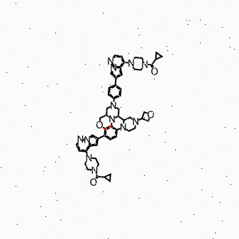 O=C(C1CC1)N1CCN(c2ccnn3cc(-c4ccc(N5CC6COCCN6C(C6CN(C7COC7)CCN6c6ccc(-c7cc8c(N9CCN(C(=O)C%10CC%10)CC9)ccnn8c7)cc6)C5)cc4)cc23)CC1